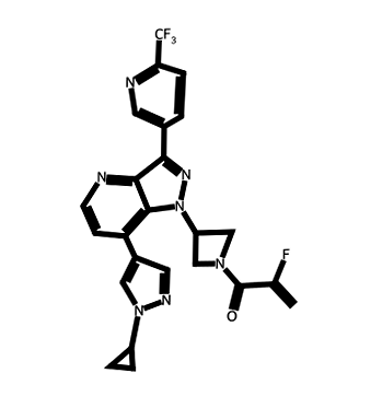 C=C(F)C(=O)N1CC(n2nc(-c3ccc(C(F)(F)F)nc3)c3nccc(-c4cnn(C5CC5)c4)c32)C1